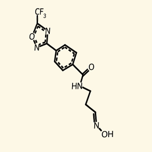 O=C(NCC/C=N/O)c1ccc(-c2noc(C(F)(F)F)n2)cc1